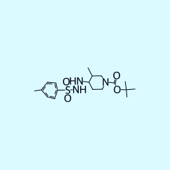 Cc1ccc(S(=O)(=O)NNC2CCN(C(=O)OC(C)(C)C)CC2C)cc1